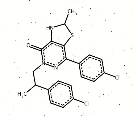 CC1Nc2c(c(-c3ccc(Cl)cc3)nn(CC(C)c3ccc(Cl)cc3)c2=O)S1